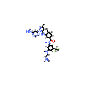 CNc1cc(-n2nc(C)cc2Nc2cc(C(=O)Nc3cc(N(C)CCN(C)C)cc(C(F)(F)F)c3)ccc2C)ncn1